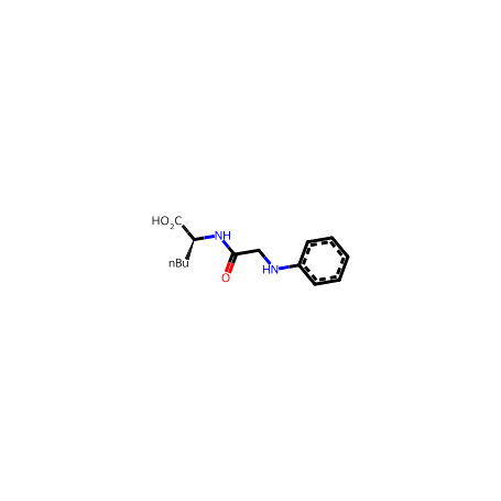 CCCC[C@H](NC(=O)CNc1ccccc1)C(=O)O